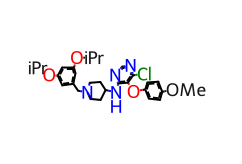 COc1ccc(Oc2c(Cl)ncnc2NC2CCN(Cc3cc(OC(C)C)cc(OC(C)C)c3)CC2)cc1